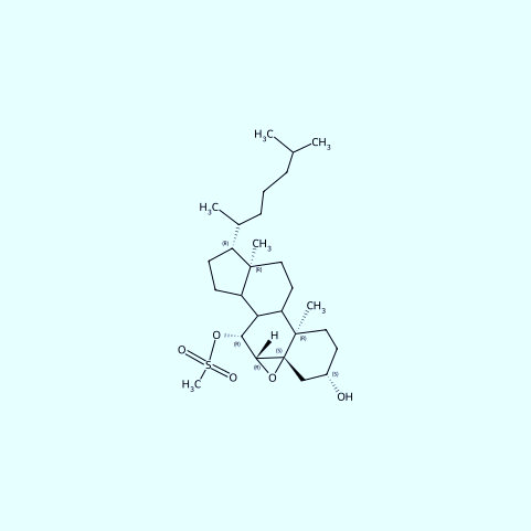 CC(C)CCCC(C)[C@H]1CCC2C3C(CC[C@@]21C)[C@@]1(C)CC[C@H](O)C[C@]12O[C@@H]2[C@@H]3OS(C)(=O)=O